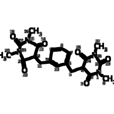 CN1C(=O)C(Cc2cccc(CC3C(=O)N(C)C(=O)N(C)C3=O)c2)C(=O)N(C)C1=O